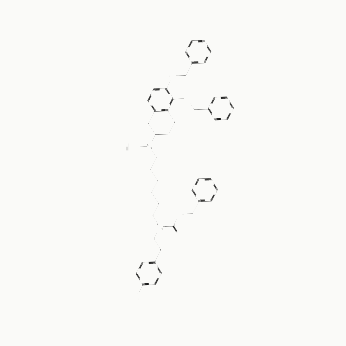 CCCN(CCCCCCN(CCc1ccc(S(=O)(=O)O)cc1)C(=O)OCc1ccccc1)C1CCc2c(ccc(OCc3ccccc3)c2OCc2ccccc2)C1